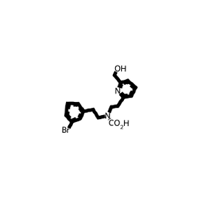 O=C(O)N(CCc1cccc(Br)c1)CCc1cccc(CO)n1